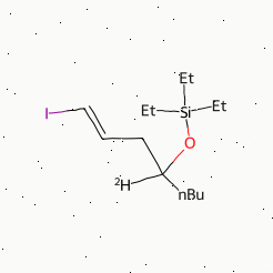 [2H]C(CC=CI)(CCCC)O[Si](CC)(CC)CC